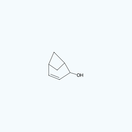 OC1C=CC2CC1C2